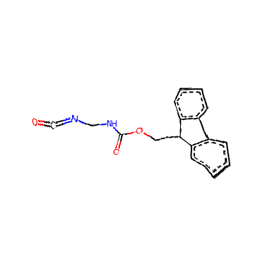 O=C=NCNC(=O)OCC1c2ccccc2-c2ccccc21